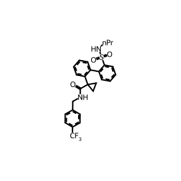 CCCNS(=O)(=O)c1ccccc1-c1ccccc1C1(C(=O)NCc2ccc(C(F)(F)F)cc2)CC1